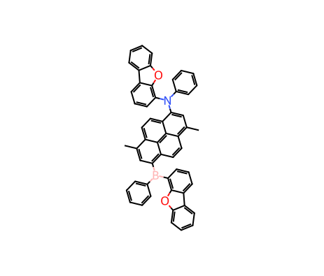 Cc1cc(B(c2ccccc2)c2cccc3c2oc2ccccc23)c2ccc3c(C)cc(N(c4ccccc4)c4cccc5c4oc4ccccc45)c4ccc1c2c34